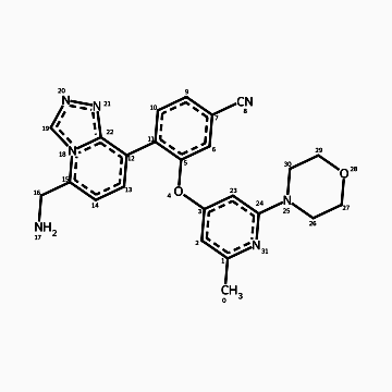 Cc1cc(Oc2cc(C#N)ccc2-c2ccc(CN)n3cnnc23)cc(N2CCOCC2)n1